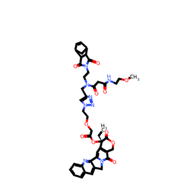 CC[C@@]1(OC(=O)COCCn2cc(CN(CCN3C(=O)C4C5C=CC(C5)C4C3=O)C(=O)CC(=O)NCCOC)nn2)C(=O)OCc2c1cc1n(c2=O)Cc2cc3ccccc3nc2-1